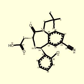 CC(C)(C)CN1C(=O)[C@@H](CC(=O)O)S[C@H](c2ccccc2Cl)c2cc(C#N)ccc21